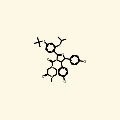 CC(C)Oc1cc(OC(C)(C)C)ccc1C1=NC(c2ccc(Cl)cc2)C(c2ccc(Cl)cc2)N1C(=O)N1CCN(C)C(=O)C1